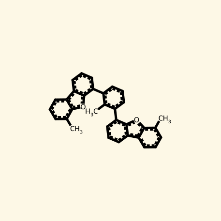 Cc1c(-c2cccc3c2oc2c(C)cccc23)cccc1-c1cccc2c1oc1c(C)cccc12